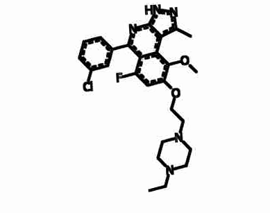 CCN1CCN(CCOc2cc(F)c3c(-c4cccc(Cl)c4)nc4[nH]nc(C)c4c3c2OC)CC1